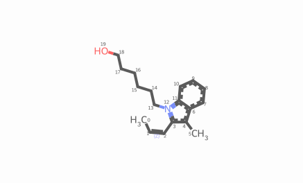 C/C=C\c1c(C)c2ccccc2n1CCCCCCO